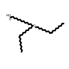 CCCCCCCC/C=C\CCCCCCCCOC(CCCCCCC/C=C\CCCCCCCC)CCCCCCCCCCCC(=O)O